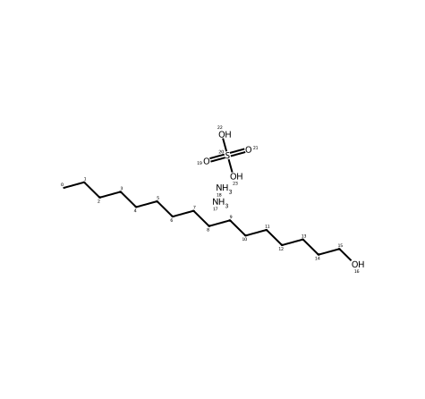 CCCCCCCCCCCCCCCCO.N.N.O=S(=O)(O)O